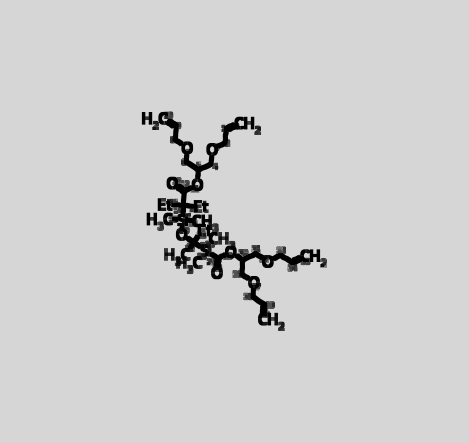 C=CCOCC(COCC=C)OC(=O)C(CC)(CC)[Si](C)(C)OC(C)(CC)[Si](C)(C)C(=O)OC(COCC=C)COCC=C